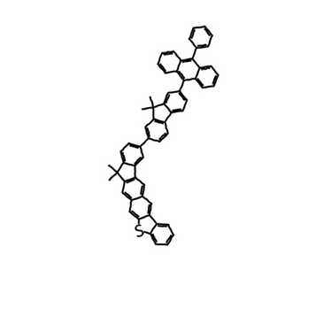 CC1(C)c2cc(-c3ccc4c(c3)-c3cc5cc6c(cc5cc3C4(C)C)sc3ccccc36)ccc2-c2ccc(-c3c4ccccc4c(-c4ccccc4)c4ccccc34)cc21